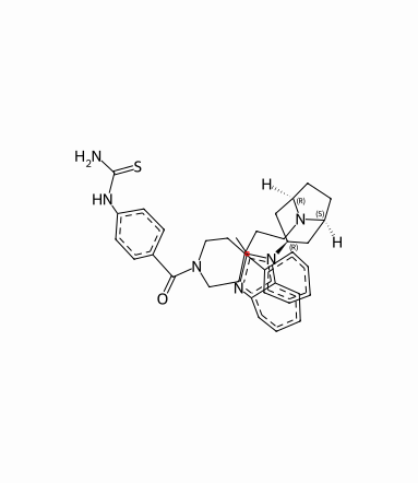 Cc1nc2ccccc2n1[C@H]1C[C@H]2CC[C@@H](C1)N2CCC1(c2ccccc2)CCN(C(=O)c2ccc(NC(N)=S)cc2)CC1